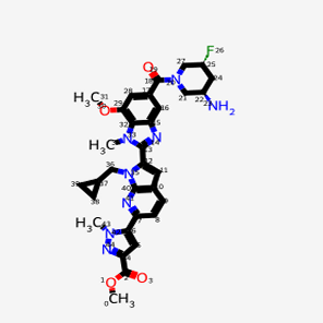 COC(=O)c1cc(-c2ccc3cc(-c4nc5cc(C(=O)N6C[C@H](N)C[C@@H](F)C6)cc(OC)c5n4C)n(CC4CC4)c3n2)n(C)n1